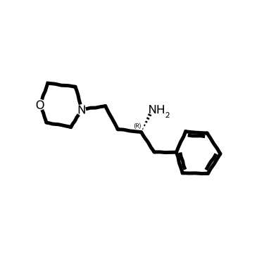 N[C@@H](CCN1CCOCC1)Cc1ccccc1